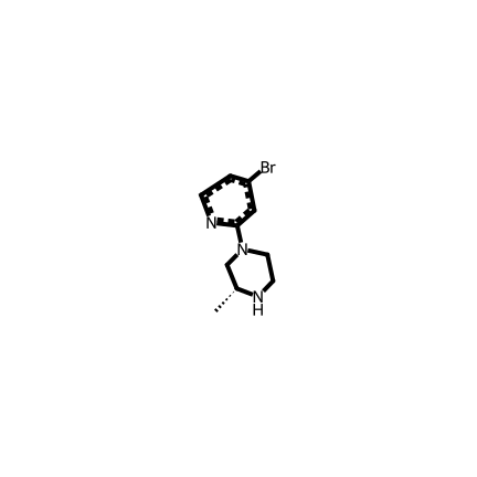 C[C@@H]1CN(c2cc(Br)ccn2)CCN1